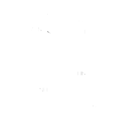 C=CCOP(=O)(OCCNC(=O)OC(C)(C)C)OC[C@@H](COCC[C@@H](C)N)NC(C)=O